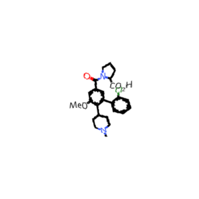 COc1cc(C(=O)N2CCCC2C(=O)O)cc(-c2ccccc2Cl)c1C1CCN(C)CC1